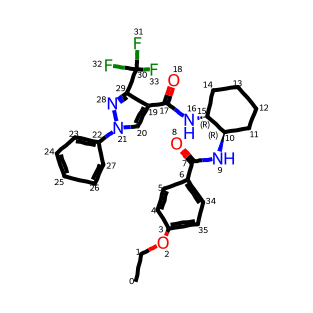 CCOc1ccc(C(=O)N[C@@H]2CCCC[C@H]2NC(=O)c2cn(-c3ccccc3)nc2C(F)(F)F)cc1